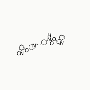 N#Cc1ccccc1OC1CCN(CC[C@H]2CC[C@H](NC(=O)Oc3ccnc4ccccc34)CC2)CC1